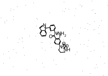 NN(C(=O)c1ccc(N2CCCNS2(=O)=O)cc1F)c1cccc(-c2nccc3ccccc23)c1